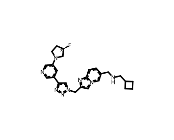 F[C@@H]1CCN(c2cncc(-c3cn(Cc4cn5cc(CNCC6CCC6)ccc5n4)nn3)c2)C1